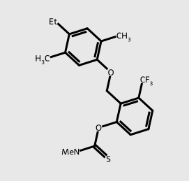 CCc1cc(C)c(OCc2c(OC(=S)NC)cccc2C(F)(F)F)cc1C